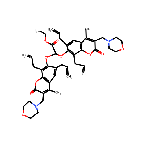 C=CCc1cc2c(C)c(CN3CCOCC3)c(=O)oc2c(CC=C)c1OC(Oc1c(CC=C)cc2c(C)c(CN3CCOCC3)c(=O)oc2c1CC=C)C(=O)OCC